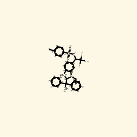 CCN1c2cc(C(OS(=O)(=O)c3ccc(C)cc3)C(F)(F)F)ccc2NC1C(O)(c1ccccc1)c1ccccc1